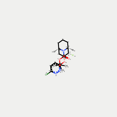 CC(C)(C)OC(=O)N1[C@@H]2CCC[C@H]1[C@H](F)[C@H](Oc1ccc(Cl)nn1)C2